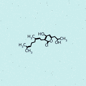 CC(C)=CCCC(C)=CCc1c(O)cc(CC(C)O)oc1=O